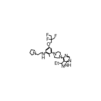 CCc1n[nH]c2ncnc(N3CCN(c4cc(OCC(F)(CF)CF)cc(NCCN5CCCC5)c4C)CC3)c12